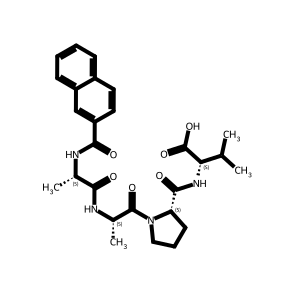 CC(C)[C@H](NC(=O)[C@@H]1CCCN1C(=O)[C@H](C)NC(=O)[C@H](C)NC(=O)c1ccc2ccccc2c1)C(=O)O